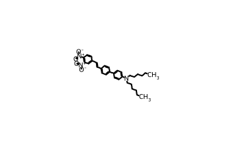 CCCCCCN(CCCCCC)c1ccc(-c2ccc(C=Cc3ccc([N+](=O)[O-])c([N+](=O)[O-])c3)cc2)cc1